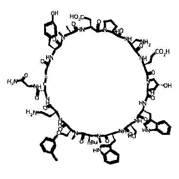 CCCC[C@H]1C(=O)N(C)[C@@H](COc2cccc(C)c2)C(=O)N[C@@H](CCN)C(=O)N[C@H](C(=O)NCC(N)=O)CSCC(=O)N[C@@H](Cc2ccc(O)cc2)C(=O)N(C)[C@@H](C)C(=O)N[C@@H](CC(=O)O)C(=O)N2CCC[C@H]2C(=O)N[C@@H](CN)C(=O)N[C@@H](CCC(=O)O)C(=O)N2C[C@H](O)C[C@H]2C(=O)N[C@@H](Cc2c[nH]c3ccccc23)C(=O)N[C@@H](CO)C(=O)N[C@@H](Cc2c[nH]c3ccccc23)C(=O)N1C